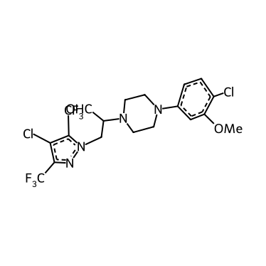 COc1cc(N2CCN(C(C=O)Cn3nc(C(F)(F)F)c(Cl)c3C(F)(F)F)CC2)ccc1Cl